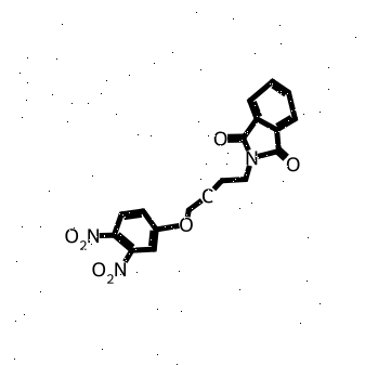 O=C1c2ccccc2C(=O)N1CCCCOc1ccc([N+](=O)[O-])c([N+](=O)[O-])c1